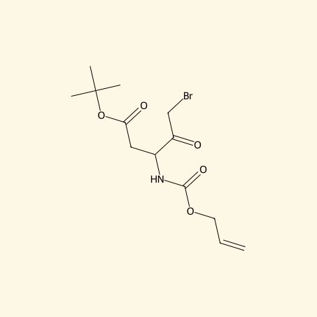 C=CCOC(=O)NC(CC(=O)OC(C)(C)C)C(=O)CBr